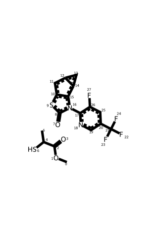 COC(=O)C(C)S.O=c1sc2cc3cc-3c2n1-c1ncc(C(F)(F)F)cc1F